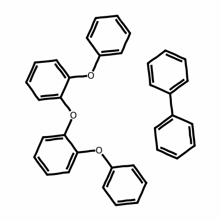 c1ccc(-c2ccccc2)cc1.c1ccc(Oc2ccccc2Oc2ccccc2Oc2ccccc2)cc1